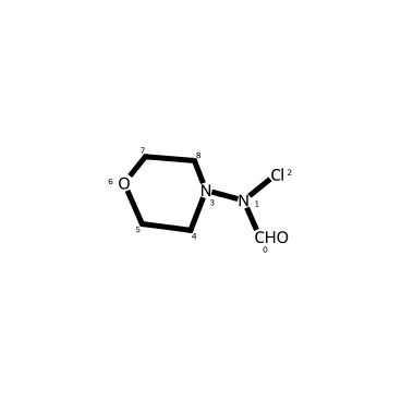 O=CN(Cl)N1CCOCC1